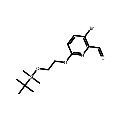 CC(C)(C)[Si](C)(C)OCCOc1ccc(Br)c(C=O)n1